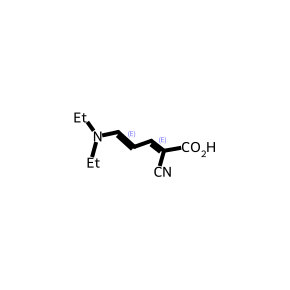 CCN(/C=C/C=C(\C#N)C(=O)O)CC